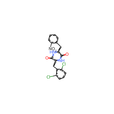 O=c1[nH]/c(=C\c2c(Cl)cccc2Cl)c(=O)[nH]/c1=C\c1ccccc1[N+](=O)[O-]